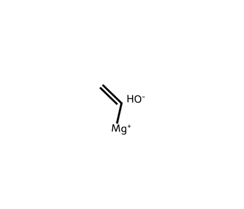 C=[CH][Mg+].[OH-]